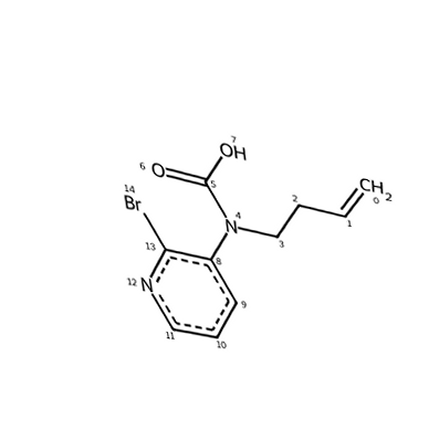 C=CCCN(C(=O)O)c1cccnc1Br